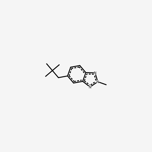 Cn1nc2ccc(CC(C)(C)C)cc2n1